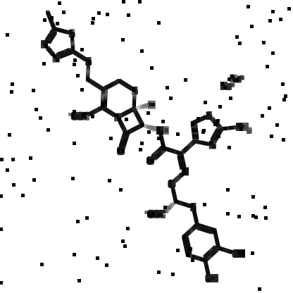 Cc1nnc(SCC2=C(C(=O)[O-])N3C(=O)[C@@H](NC(=O)/C(=N\O[C@H](Sc4ccc(O)c(O)c4)C(=O)[O-])c4csc(N)n4)[C@@H]3SC2)s1.[Na+].[Na+]